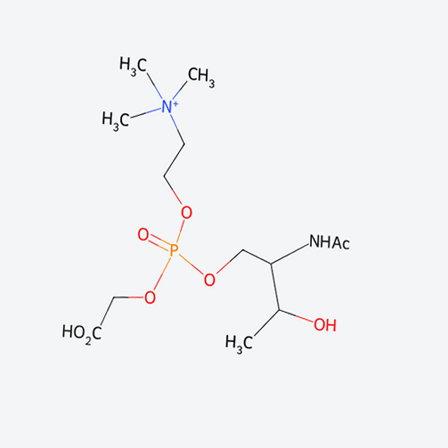 CC(=O)NC(COP(=O)(OCC[N+](C)(C)C)OCC(=O)O)C(C)O